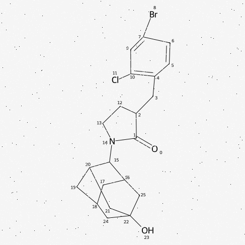 O=C1C(Cc2ccc(Br)cc2Cl)CCN1C1C2CC3CC1CC(O)(C3)C2